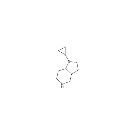 C1CC2C(CCN2C2CC2)CN1